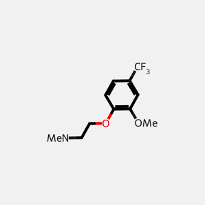 CNCCOc1ccc(C(F)(F)F)cc1OC